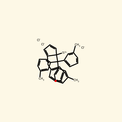 Cc1cccc(C(c2cccc(C)c2)(c2cccc(C)c2)[C]2([Ti+3])C=CC=C2Cc2ccccc2)c1.[Cl-].[Cl-].[Cl-]